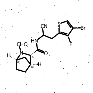 N#CC(Cc1scc(Br)c1F)NC(=O)[C@@H]1[C@H]2CC[C@H](C2)N1C=O